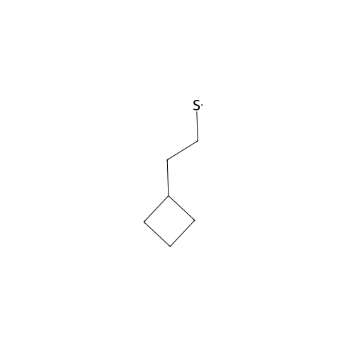 [S]CCC1CCC1